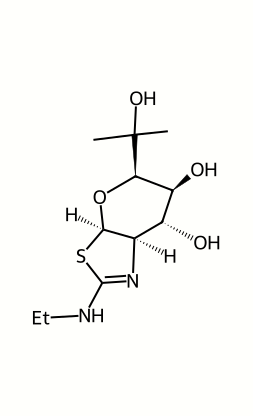 CCNC1=N[C@@H]2[C@@H](O)[C@H](O)[C@H](C(C)(C)O)O[C@@H]2S1